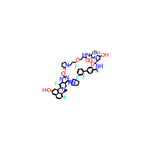 C#Cc1c(F)ccc2cc(O)cc(-c3ncc4c(N5CC6CCC(C5)N6)nc(OC[C@@H]5CCCN5CCCOCCC(=O)N[C@H](C(=O)N5C[C@H](O)C[C@H]5C(=O)N[C@@H](C)c5ccc(-c6cc(F)cc(F)c6F)cc5)C(C)(C)C)nc4c3F)c12